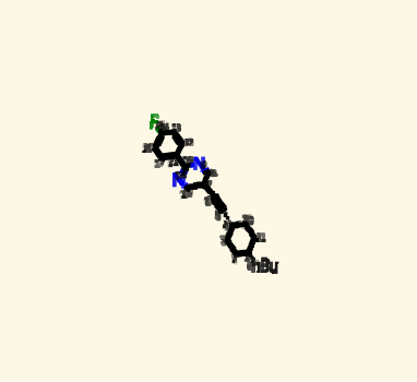 CCCC[C@H]1CC[C@H](C#Cc2cnc(-c3ccc(F)cc3)nc2)CC1